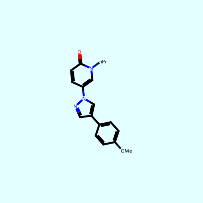 CCCn1cc(-n2cc(-c3ccc(OC)cc3)cn2)ccc1=O